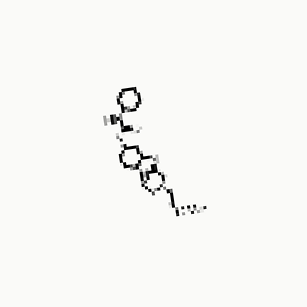 COCCN1CCN2C(=NC3CC(NC(=O)NC4CCCCC4)CCC32)C1